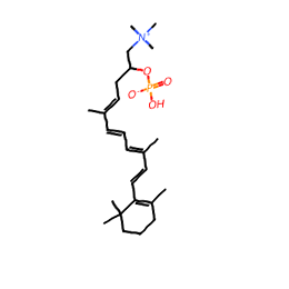 CC(C=CC1=C(C)CCCC1(C)C)=CC=CC(C)=CCC(C[N+](C)(C)C)OP(=O)([O-])O